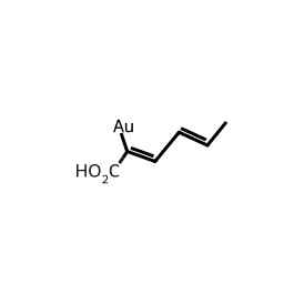 C/C=C/C=[C](\[Au])C(=O)O